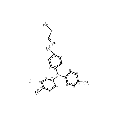 C=C[CH2][Pd+].Cc1ccc(P(c2ccc(C)cc2)c2ccc(C)cc2)cc1.[Cl-]